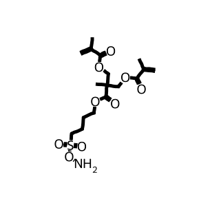 C=C(C)C(=O)OCC(C)(COC(=O)C(=C)C)C(=O)OCCCCS(=O)(=O)ON